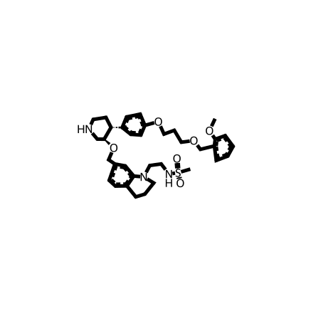 COc1ccccc1COCCCOc1ccc([C@H]2CCNC[C@@H]2OCc2ccc3c(c2)N(CCNS(C)(=O)=O)CCC3)cc1